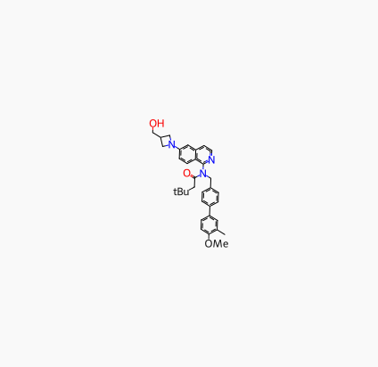 COc1ccc(-c2ccc(CN(C(=O)CC(C)(C)C)c3nccc4cc(N5CC(CO)C5)ccc34)cc2)cc1C